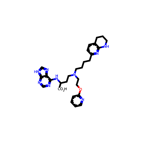 O=C(O)C(CCN(CCCCc1ccc2c(n1)NCCC2)CCOc1ccccn1)Nc1ncnc2[nH]cnc12